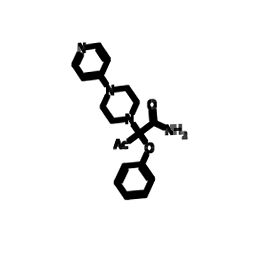 CC(=O)C(Oc1ccccc1)(C(N)=O)N1CCN(c2ccncc2)CC1